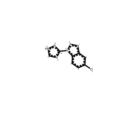 Clc1ccc2c(c1)nnn2-c1nc[nH]n1